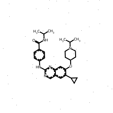 CC(C)NC(=O)c1ccc(Nc2ncc3cc(C4CC4)c(OC4CCN(C(C)C)CC4)cc3n2)cc1